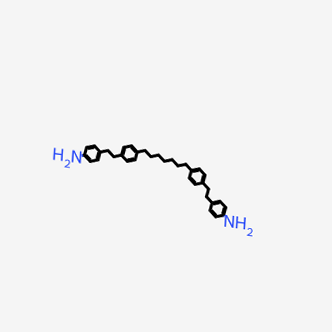 Nc1ccc(CCc2ccc(CCCCCCCc3ccc(CCc4ccc(N)cc4)cc3)cc2)cc1